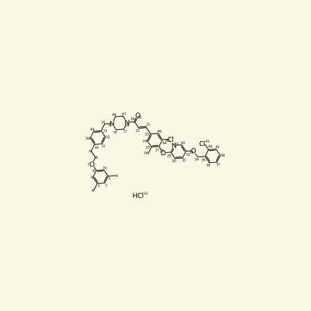 Cc1cc(C)cc(OCCc2ccc(CN3CCN(C(=O)/C=C/c4cc(C)c(Oc5ccc(OCc6ccccc6Cl)cn5)c(Cl)c4)CC3)cc2)c1.Cl